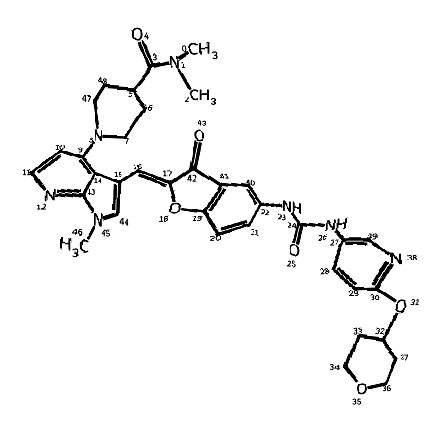 CN(C)C(=O)C1CCN(c2ccnc3c2c(C=C2Oc4ccc(NC(=O)Nc5ccc(OC6CCOCC6)nc5)cc4C2=O)cn3C)CC1